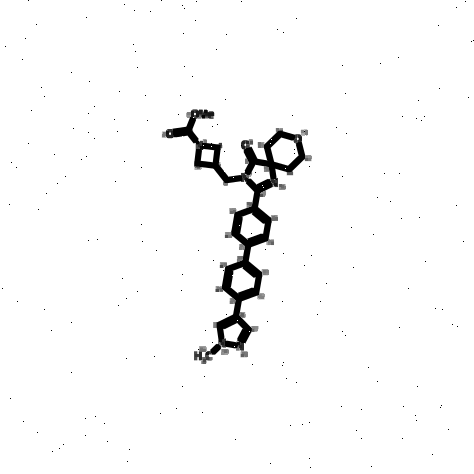 COC(=O)N1CC(CN2C(=O)C3(CCOCC3)N=C2c2ccc(-c3ccc(-c4cnn(C)c4)cc3)cc2)C1